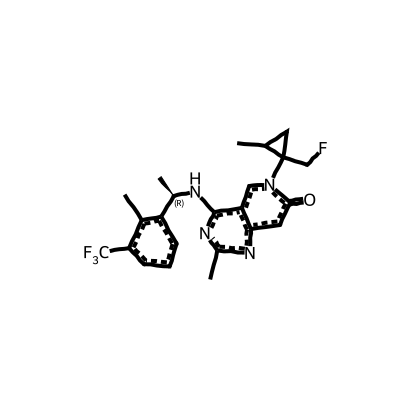 Cc1nc(N[C@H](C)c2cccc(C(F)(F)F)c2C)c2cn(C3(CF)CC3C)c(=O)cc2n1